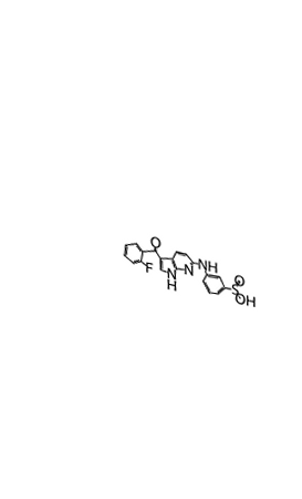 O=C(c1ccccc1F)c1c[nH]c2nc(Nc3cccc(S(=O)O)c3)ccc12